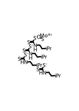 CC(C)CCNC(=S)[S-].CC(C)CCNC(=S)[S-].CC(C)CCNC(=S)[S-].CC(C)CCNC(=S)[S-].O=S.[Mo+4]